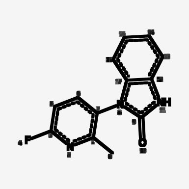 Cc1nc(F)ccc1-n1c(=O)[nH]c2ccccc21